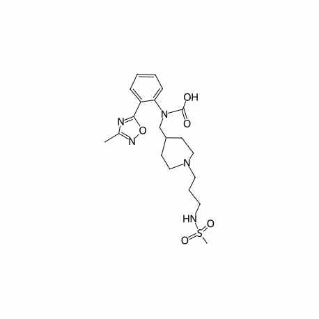 Cc1noc(-c2ccccc2N(CC2CCN(CCCNS(C)(=O)=O)CC2)C(=O)O)n1